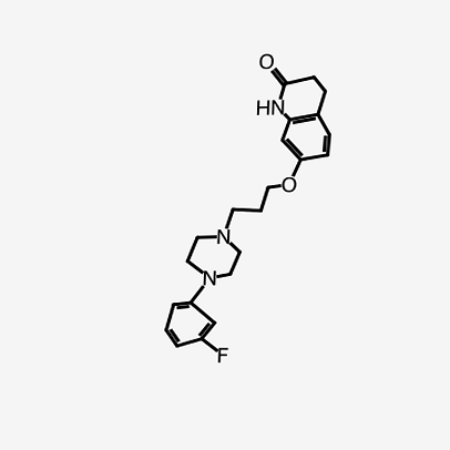 O=C1CCc2ccc(OCCCN3CCN(c4cccc(F)c4)CC3)cc2N1